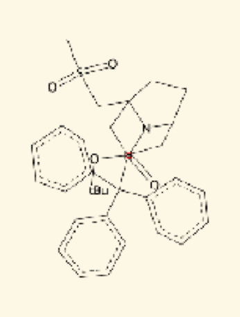 CC(C)(C)OC(=O)N1C2CCC1(CS(C)(=O)=O)CN(C(c1ccccc1)(c1ccccc1)c1ccccc1)C2